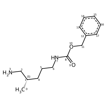 C[C@H](CN)CCCNC(=O)OCc1ccccc1